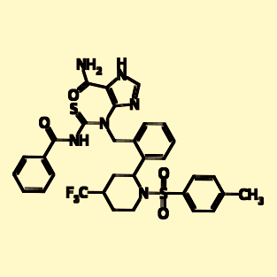 Cc1ccc(S(=O)(=O)N2CCC(C(F)(F)F)CC2c2ccccc2CN(C(=S)NC(=O)c2ccccc2)c2nc[nH]c2C(N)=O)cc1